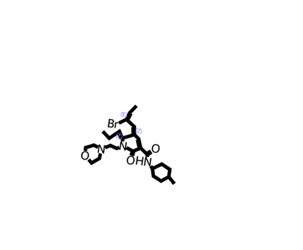 C\C=C(Br)/C=c1/cc(C(=O)NC2CCC(C)CC2)c(=O)n(CCN2CCOCC2)/c1=C\CC